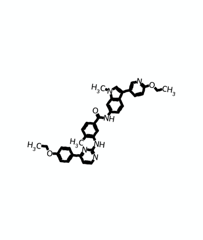 CCOc1ccc(-c2ccnc(Nc3cc(C(=O)Nc4ccc5c(-c6ccc(OCC)nc6)cn(C)c5c4)ccc3C)n2)cc1